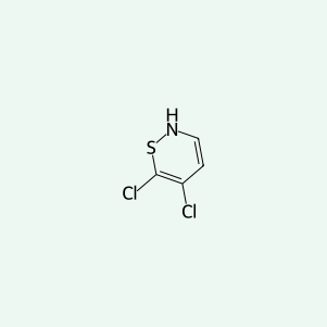 ClC1=C(Cl)SNC=C1